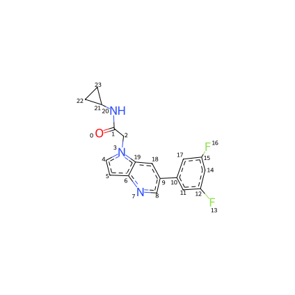 O=C(Cn1ccc2ncc(-c3cc(F)cc(F)c3)cc21)NC1CC1